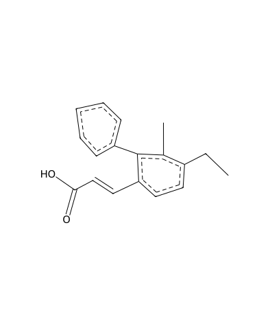 CCc1ccc(C=CC(=O)O)c(-c2ccccc2)c1C